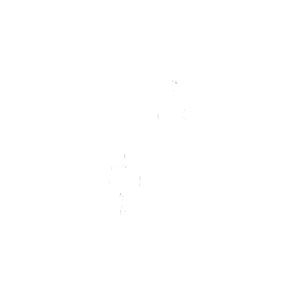 CCN1CCN(C(=O)CCc2cccc(Br)c2)CC1